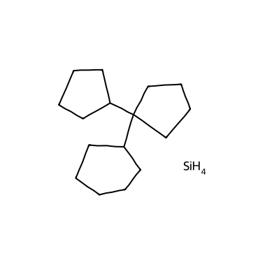 C1CCC(C2(C3CCCC3)CCCC2)CC1.[SiH4]